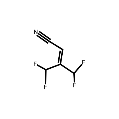 N#CC=C(C(F)F)C(F)F